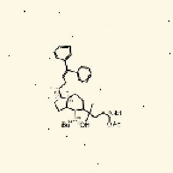 CC[C@@H](CCC(C)(C)C1CC[C@@]2(C)C(CC[C@@H]2[C@H](C)CC=C(c2ccccc2)c2ccccc2)C1[C@H](O)[C@@H](C)CC)OC(C)=O